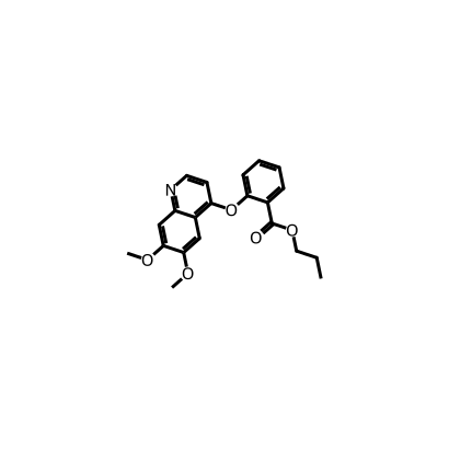 CCCOC(=O)c1ccccc1Oc1ccnc2cc(OC)c(OC)cc12